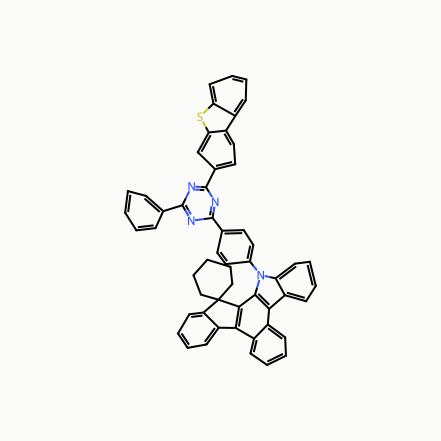 c1ccc(-c2nc(-c3ccc(-n4c5ccccc5c5c6ccccc6c6c(c54)C4(CCCCC4)c4ccccc4-6)cc3)nc(-c3ccc4c(c3)sc3ccccc34)n2)cc1